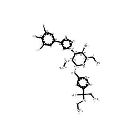 CCOC(C)(CC)c1cc(C[C@H]2O[C@H](CO)[C@H](O)[C@H](n3cc(-c4cc(F)c(F)c(F)c4)nn3)[C@H]2OC)on1